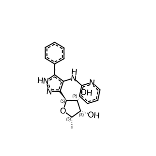 C[C@@H]1O[C@@H](c2n[nH]c(-c3ccccc3)c2Nc2ccccn2)[C@H](O)[C@@H]1O